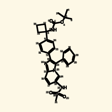 CC(C)(C)OC(=O)NC1(c2ccc(-c3nc4ccc(NS(C)(=O)=O)cn4c3-c3ccccc3)cc2)CCC1